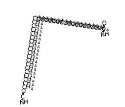 C.C.C.C.C.C.C.C.C.C.C.C.C.C.C.C.C.C.C.C.C.C.C.C.C.C.C.C.C.C.C.C.C.C.C.C.N=C=O.N=C=O